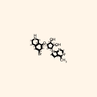 Cc1ncnc2c1ccn2[C@@H]1C[C@H](Oc2cc(Br)cc3c2CNCC3)[C@@H](O)[C@H]1O